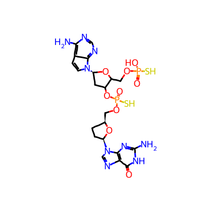 Nc1nc2c(ncn2[C@H]2CC[C@@H](COP(=O)(S)OC3C[C@H](n4ccc5c(N)ncnc54)OC3COP(=O)(O)S)O2)c(=O)[nH]1